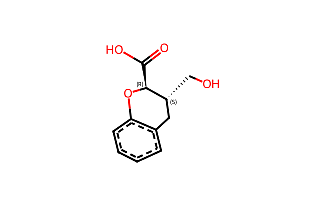 O=C(O)[C@@H]1Oc2ccccc2C[C@H]1CO